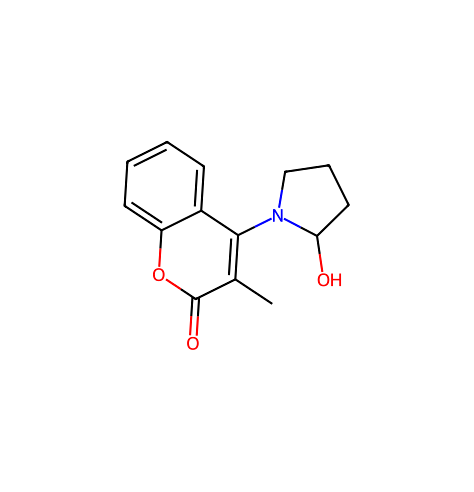 Cc1c(N2CCCC2O)c2ccccc2oc1=O